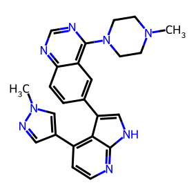 CN1CCN(c2ncnc3ccc(-c4c[nH]c5nccc(-c6cnn(C)c6)c45)cc23)CC1